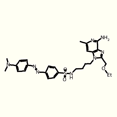 CCOCc1nc2c(N)nc(C)cc2n1CCCCNS(=O)(=O)c1ccc(N=Nc2ccc(N(C)C)cc2)cc1